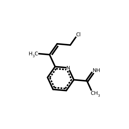 CC(=N)c1cccc(/C(C)=C\CCl)n1